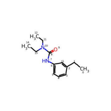 CCc1cccc(NC(=O)N(CC)CC)c1